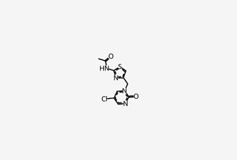 CC(=O)Nc1nc(Cn2cc(Cl)cnc2=O)cs1